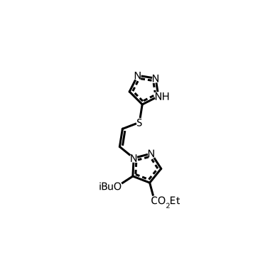 CCOC(=O)c1cnn(/C=C\Sc2cnn[nH]2)c1OCC(C)C